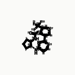 CC(=O)NC1CCC[C@H]1Nc1ccnc(-c2cncc(C(F)(F)F)c2)n1